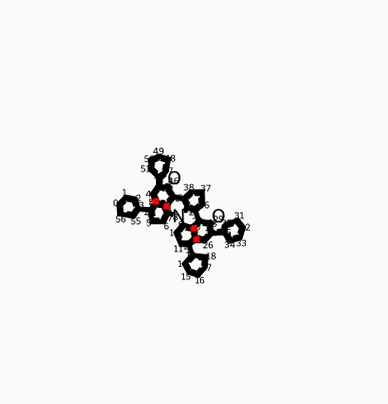 c1ccc(-c2ccc(N(c3ccc(-c4ccccc4)cc3)c3c(-c4cccc5c4oc4ccccc45)cccc3-c3cccc4c3oc3ccccc34)cc2)cc1